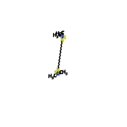 CCN(CC)C(=S)SSCCCCCCCCCCCCCCCCCCSSC(=S)N(CC)CC